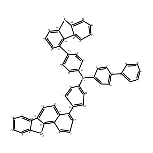 c1ccc(-c2ccc(N(c3ccc(-c4cccc5c4ccc4c6ccccc6oc54)cc3)c3ccc(-c4cccc5sc6ccccc6c45)cc3)cc2)cc1